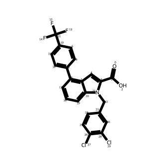 O=C(O)c1cc2c(-c3ccc(C(F)(F)F)cc3)cccc2n1Cc1ccc(Cl)c(Cl)c1